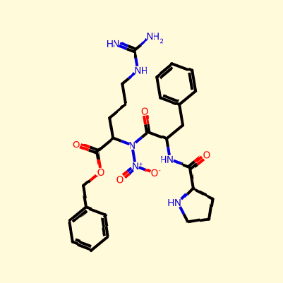 N=C(N)NCCCC(C(=O)OCc1ccccc1)N(C(=O)C(Cc1ccccc1)NC(=O)C1CCCN1)[N+](=O)[O-]